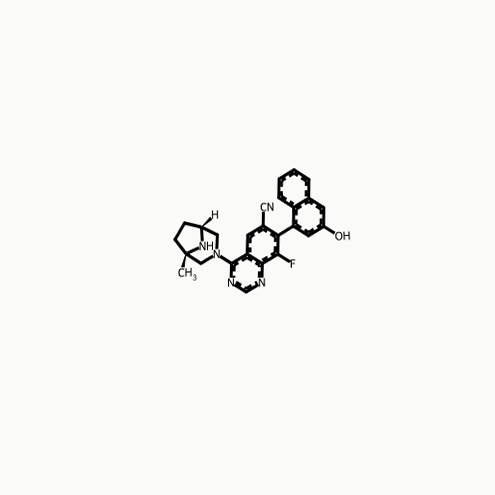 C[C@]12CC[C@H](CN(c3ncnc4c(F)c(-c5cc(O)cc6ccccc56)c(C#N)cc34)C1)N2